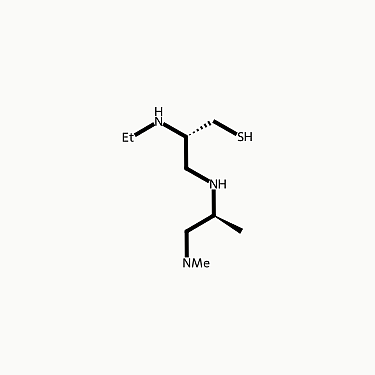 CCN[C@H](CS)CN[C@@H](C)CNC